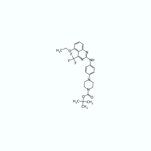 CCOc1cccc2nc(Nc3ccc(N4CCN(C(=O)OC(C)(C)C)CC4)cc3)nc(C(F)(F)F)c12